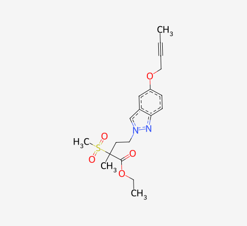 CC#CCOc1ccc2nn(CCC(C)(C(=O)OCC)S(C)(=O)=O)cc2c1